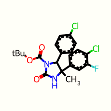 CC(C)(C)OC(=O)N1C(=O)NC(C)(c2ccc(Cl)c(F)c2)C1c1ccc(Cl)cc1